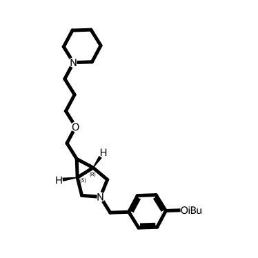 CC(C)COc1ccc(CN2C[C@@H]3C(COCCCN4CCCCC4)[C@@H]3C2)cc1